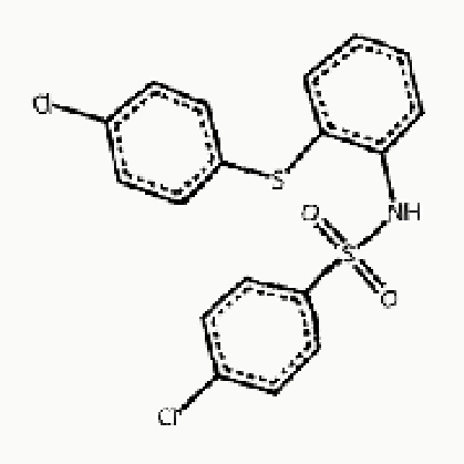 O=S(=O)(Nc1ccccc1Sc1ccc(Cl)cc1)c1ccc(Cl)cc1